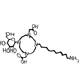 NCCCCCCCCCCN1CCCN(CC(=O)O)CCN([C@@H]2O[C@H](CO)[C@@H](O)[C@H](O)[C@H]2O)CCCN(CC(=O)O)CC1